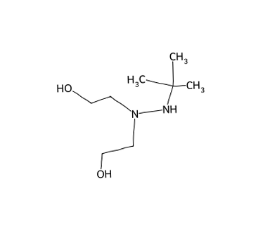 CC(C)(C)NN(CCO)CCO